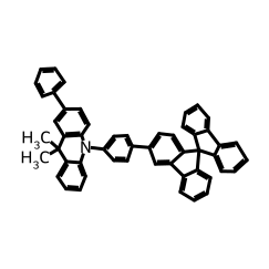 CC1(C)c2ccccc2N(c2ccc(-c3ccc4c(c3)-c3ccccc3C43c4ccccc4-c4ccccc43)cc2)c2ccc(-c3ccccc3)cc21